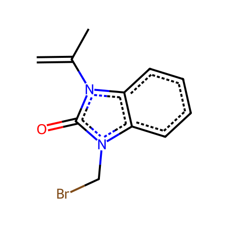 C=C(C)n1c(=O)n(CBr)c2ccccc21